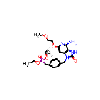 CCOP(=O)(Cc1ccc(Cn2c(=O)[nH]c3c(N)nc(OCCOC)cc32)cc1)OCC